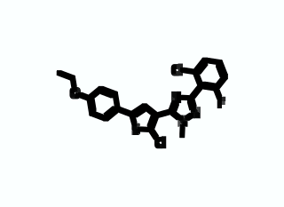 CCOc1ccc(-c2cc(-c3nc(-c4c(F)cccc4Cl)nn3C)c(Cl)s2)cc1